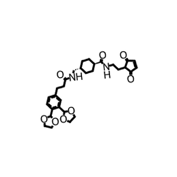 O=C(CCc1ccc(C2OCCO2)c(C2OCCO2)c1)NC[C@H]1CC[C@H](C(=O)NCCC2C(=O)C=CC2=O)CC1